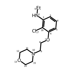 CCNc1cccc(OCCN2CCOCC2)c1Cl